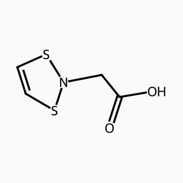 O=C(O)CN1SC=CS1